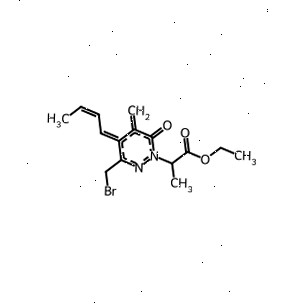 C=c1c(=O)n(C(C)C(=O)OCC)nc(CBr)/c1=C/C=C\C